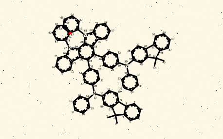 CC1(C)c2ccccc2-c2ccc(N(c3ccccc3)c3ccc(-c4c(-c5ccc(N(c6ccccc6)c6ccc7c(c6)C(C)(C)c6ccccc6-7)cc5)c5c6ccccc6n(-c6ccccc6)c5c5c4c4ccccc4n5-c4ccccc4)cc3)cc21